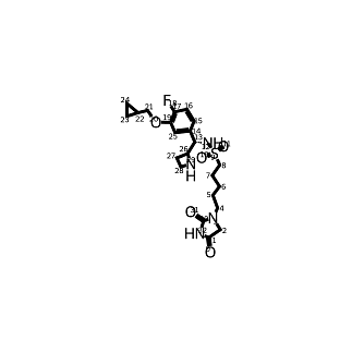 O=C1CN(CCCCCS(=O)(=O)N[C@@H](c2ccc(F)c(OCC3CC3)c2)C2CCN2)C(=O)N1